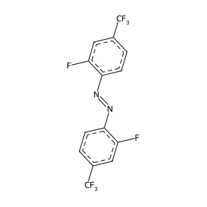 Fc1cc(C(F)(F)F)ccc1/N=N/c1ccc(C(F)(F)F)cc1F